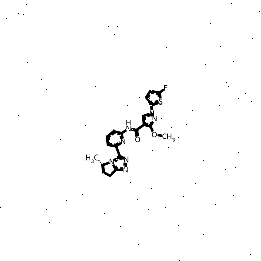 COc1nn(-c2ccc(F)s2)cc1C(=O)Nc1cccc(-c2nnc3n2[C@@H](C)CC3)n1